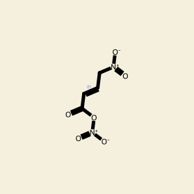 O=C(/C=C/C[N+](=O)[O-])O[N+](=O)[O-]